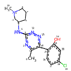 Cc1nc(NC2CCCN(C)C2)nnc1-c1ccc(Cl)cc1O